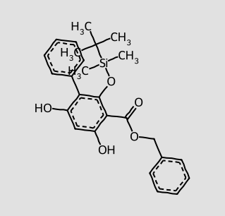 CC(C)(C)[Si](C)(C)Oc1c(C(=O)OCc2ccccc2)c(O)cc(O)c1-c1ccccc1